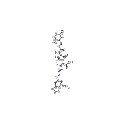 Nc1nc(SC/C=C/C2=C(C(=O)O)N3C(=O)[C@@H](NC(=O)CSc4cc(Cl)ccc4Cl)[C@H]3SC2)nc2c1CCC2